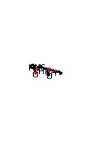 C=C(NC(C)CSC/C=C(/CC/C=C(\C)CCC=C(C)C)NNC=O)C(CC=O)c1ccccc1